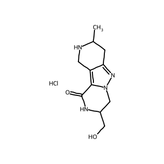 CC1Cc2nn3c(c2CN1)C(=O)NC(CO)C3.Cl